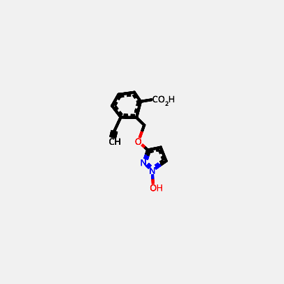 C#Cc1cccc(C(=O)O)c1COc1ccn(O)n1